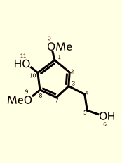 COc1cc(CCO)cc(OC)c1O